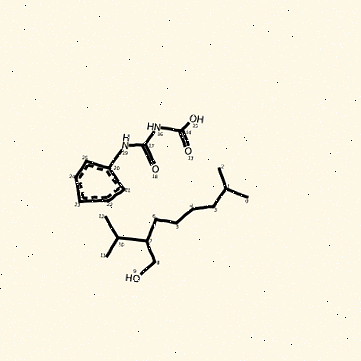 CC(C)CCCCC(CO)C(C)C.O=C(O)NC(=O)Nc1ccccc1